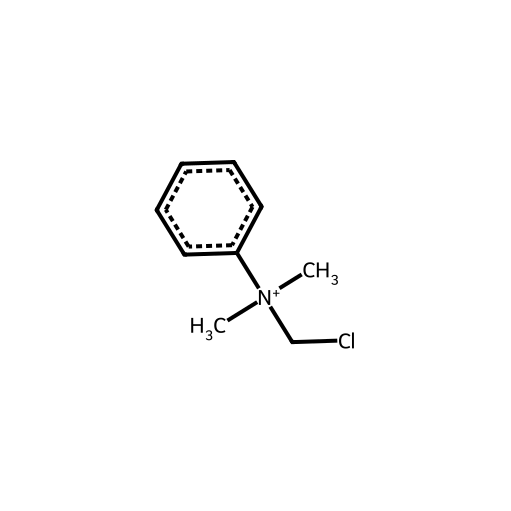 C[N+](C)(CCl)c1ccccc1